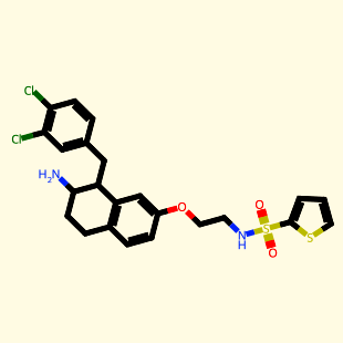 NC1CCc2ccc(OCCNS(=O)(=O)c3cccs3)cc2C1Cc1ccc(Cl)c(Cl)c1